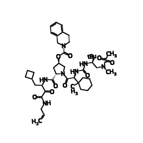 C=CCNC(=O)C(=O)C(CC1CCC1)NC(=O)[C@@H]1C[C@@H](OC(=O)N2CCc3ccccc3C2)CN1C(=O)[C@@H](NC(=O)N[C@H](CN(C)S(C)(=O)=O)C(C)(C)C)C1(C)CCCCC1